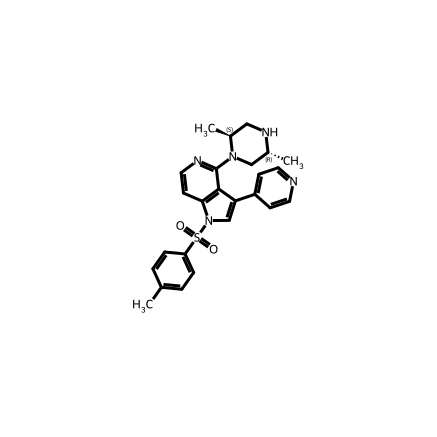 Cc1ccc(S(=O)(=O)n2cc(-c3ccncc3)c3c(N4C[C@@H](C)NC[C@@H]4C)nccc32)cc1